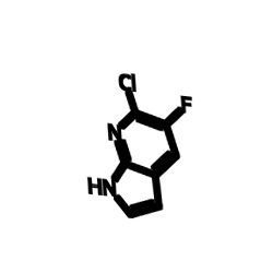 Fc1cc2cc[nH]c2nc1Cl